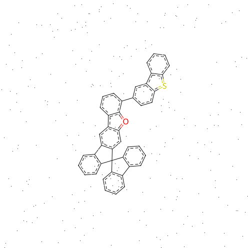 c1ccc2c(c1)-c1ccccc1C21c2ccccc2-c2cc3c(cc21)oc1c(-c2ccc4sc5ccccc5c4c2)cccc13